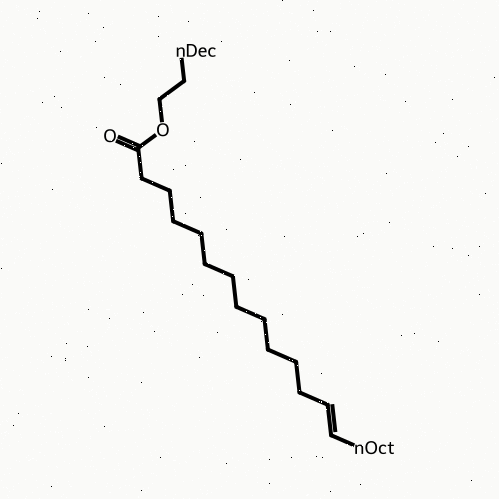 CCCCCCCCC=CCCCCCCCCCCCC(=O)OCCCCCCCCCCCC